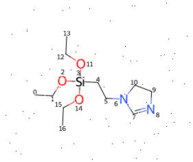 CCO[Si](CCN1C=NCC1)(OCC)OCC